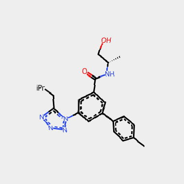 Cc1ccc(-c2cc(C(=O)N[C@@H](C)CO)cc(-n3nnnc3CC(C)C)c2)cc1